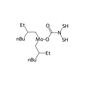 CCCCC(CC)[CH2][Mo]([CH2]C(CC)CCCC)[O]C(=O)N(S)S